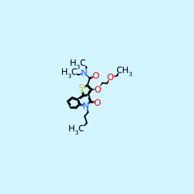 CCCCn1c(=O)c2c(OCCOCC)c(C(=O)N(CC)CC)sc2c2ccccc21